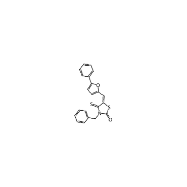 O=C1SC(=Cc2ccc(-c3ccccc3)o2)C(=S)N1Cc1ccccc1